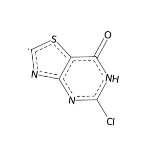 O=c1[nH]c(Cl)nc2n[c]sc12